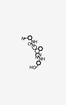 N#Cc1cccc(NC(=O)N2CCC3(CC2)Cc2cnc(Nc4ccc(CO)cc4)nc2-c2ccccc23)c1